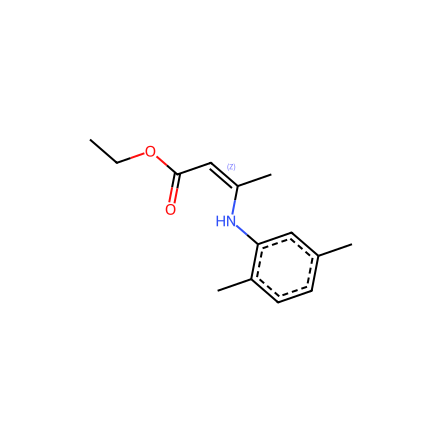 CCOC(=O)/C=C(/C)Nc1cc(C)ccc1C